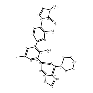 Cn1ccn(-c2ccc(-c3cc(F)cc(-c4cc(N5CCNCC5)c5nc[nH]c5c4)c3O)cc2Cl)c1=O